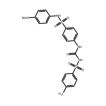 COc1ccc(NS(=O)(=O)c2ccc(NC(=O)NS(=O)(=O)c3ccc(C)cc3)cc2)cc1